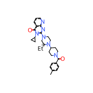 CC[C@H]1CN(c2nc3ncccc3c(=O)n2C2CC2)CCN1C1CCN(C(=O)c2ccc(C)cc2)CC1